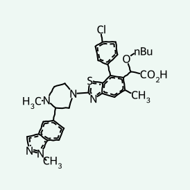 CCCCOC(C(=O)O)c1c(C)cc2nc(N3CCN(C)C(c4ccc5c(cnn5C)c4)C3)sc2c1-c1ccc(Cl)cc1